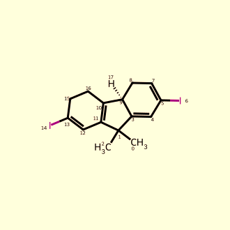 CC1(C)C2=CC(I)=CC[C@@H]2C2=C1C=C(I)CC2